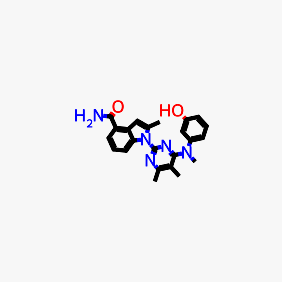 Cc1nc(-n2c(C)cc3c(C(N)=O)cccc32)nc(N(C)c2cccc(O)c2)c1C